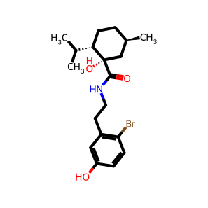 CC(C)[C@@H]1CC[C@@H](C)C[C@@]1(O)C(=O)NCCc1cc(O)ccc1Br